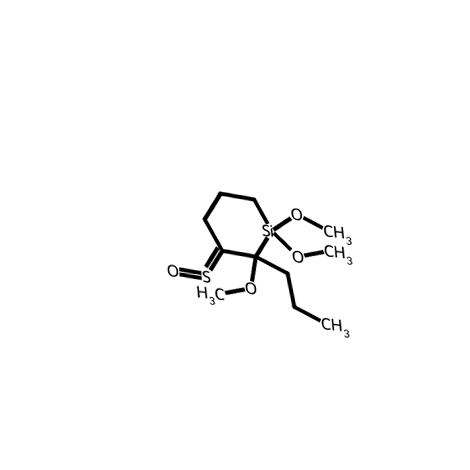 CCCC1(OC)C(=S=O)CCC[Si]1(OC)OC